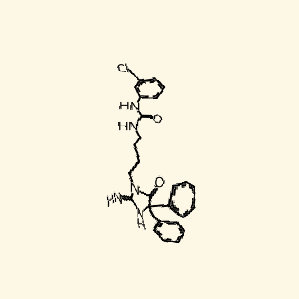 N=C1NC(c2ccccc2)(c2ccccc2)C(=O)N1CCCCNC(=O)Nc1cccc(Cl)c1